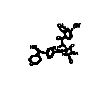 CCc1cc(O)ccc1C(=O)N(C)C[C@@]1(C#Cc2ccc(C(=N)N3CCOCC3)cc2)NC(=O)NC1=O